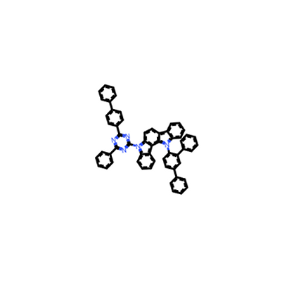 c1ccc(-c2ccc(-c3nc(-c4ccccc4)nc(-n4c5ccccc5c5c4ccc4c6ccccc6n(-c6ccc(-c7ccccc7)cc6-c6ccccc6)c45)n3)cc2)cc1